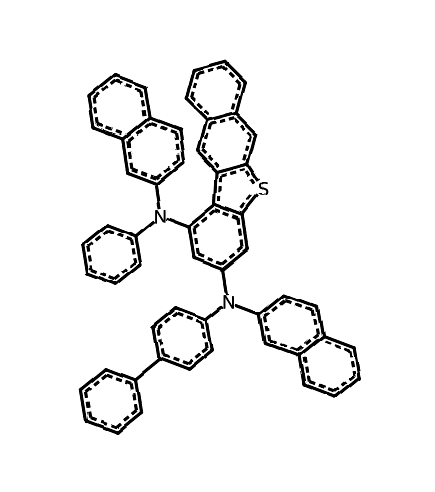 c1ccc(-c2ccc(N(c3ccc4ccccc4c3)c3cc(N(c4ccccc4)c4ccc5ccccc5c4)c4c(c3)sc3cc5ccccc5cc34)cc2)cc1